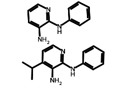 CC(C)c1ccnc(Nc2ccccc2)c1N.Nc1cccnc1Nc1ccccc1